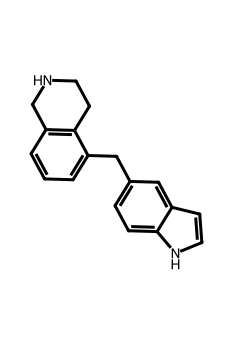 c1cc2c(c(Cc3ccc4[nH]ccc4c3)c1)CCNC2